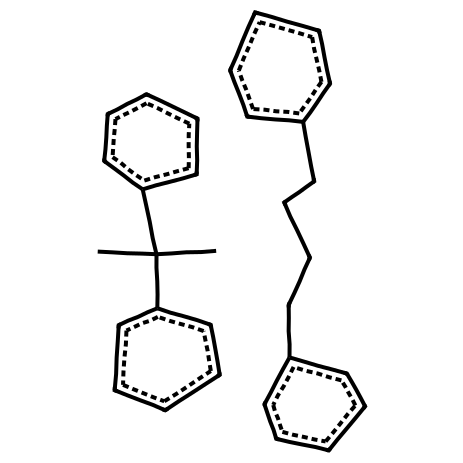 CC(C)(c1ccccc1)c1ccccc1.c1ccc(CCCCc2ccccc2)cc1